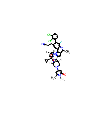 Cc1nc2c(F)c(-c3cccc(Cl)c3Cl)c(CCC#N)cc2c2c1cc([C@H]1[C@H]3C[C@H](CN(c4cc(C)n(C)c(=O)c4)C3)N1C(=O)C1CC1)n2[C@H]1[C@H]2CN[C@@H]1C2